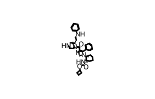 O=C(N[C@H]1CCCC[C@@H]1n1cnc(C(=O)N2CCNC[C@H]2CCNc2ccccc2)c1-c1ccccc1)OC1CCC1